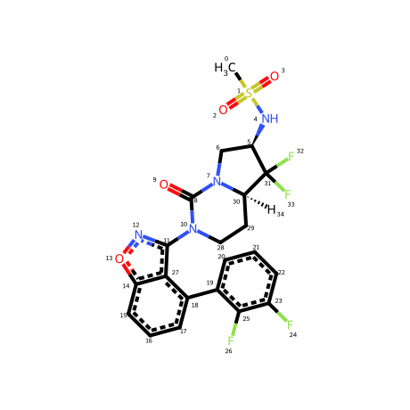 CS(=O)(=O)N[C@@H]1CN2C(=O)N(c3noc4cccc(-c5cccc(F)c5F)c34)CC[C@@H]2C1(F)F